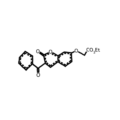 CCOC(=O)COc1ccc2cc(C(=O)c3ccccc3)c(=O)oc2c1